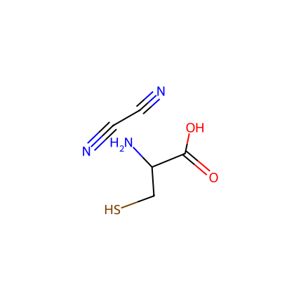 N#CC#N.NC(CS)C(=O)O